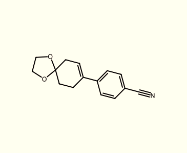 N#Cc1ccc(C2=CCC3(CC2)OCCO3)cc1